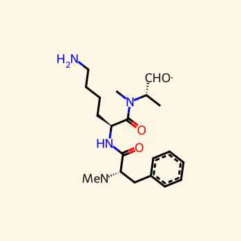 CN[C@@H](Cc1ccccc1)C(=O)N[C@@H](CCCCN)C(=O)N(C)[C@@H](C)[C]=O